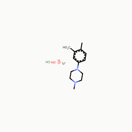 Cc1ccc(N2CCN(C)CC2)cc1C(=O)O.Cl.O.[Li+].[OH-]